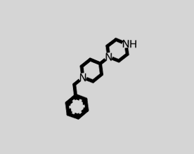 c1ccc(CN2CCC(N3CCNCC3)CC2)cc1